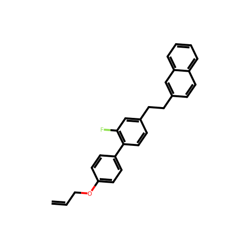 C=CCOc1ccc(-c2ccc(CCc3ccc4ccccc4c3)cc2F)cc1